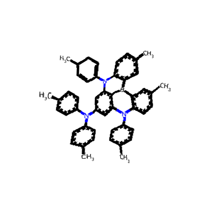 Cc1ccc(N(c2ccc(C)cc2)c2cc3c4c(c2)N(c2ccc(C)cc2)c2ccc(C)cc2B4c2cc(C)ccc2N3C2=CCC(C)C=C2)cc1